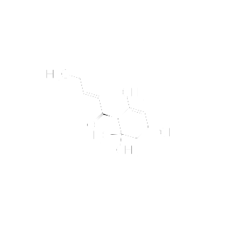 CCC=CC(=O)[C@H]1C(C)=C[C@H](C)CC1(C)C